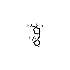 CC1(C)CCN(C[C@]2(C)CCOC2)CC1